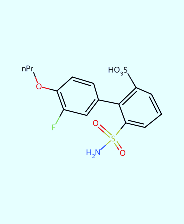 CCCOc1ccc(-c2c(S(N)(=O)=O)cccc2S(=O)(=O)O)cc1F